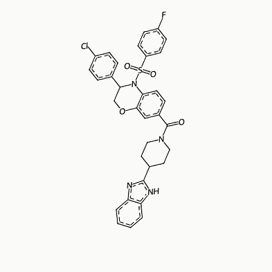 O=C(c1ccc2c(c1)OCC(c1ccc(Cl)cc1)N2S(=O)(=O)c1ccc(F)cc1)N1CCC(c2nc3ccccc3[nH]2)CC1